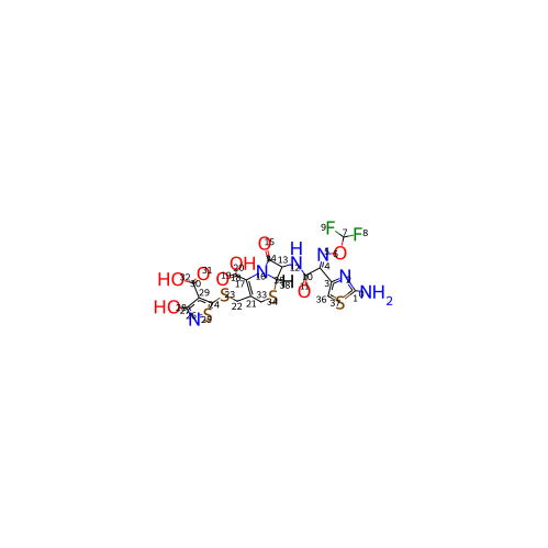 Nc1nc(C(=NOC(F)F)C(=O)NC2C(=O)N3C(C(=O)O)=C(CSc4snc(O)c4C(=O)O)CS[C@@H]23)cs1